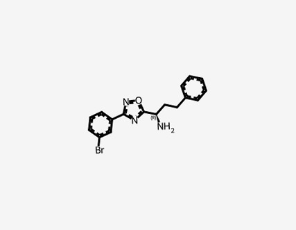 N[C@H](CCc1ccccc1)c1nc(-c2cccc(Br)c2)no1